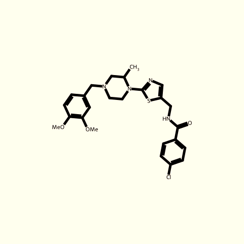 COc1ccc(CN2CCN(c3ncc(CNC(=O)c4ccc(Cl)cc4)s3)C(C)C2)cc1OC